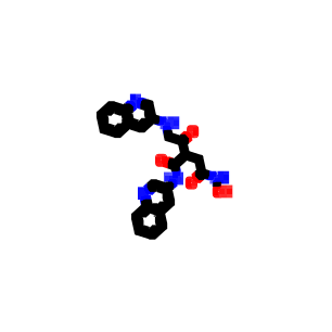 O=C(CC(C(=O)CNc1cnc2ccccc2c1)C(=O)Nc1cnc2ccccc2c1)NO